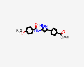 COC(=O)c1ccc(-c2cc(NC(=O)c3ccc(OC(F)(F)F)cc3)[nH]n2)cc1